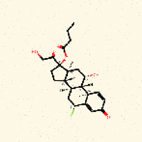 CCCC(=O)O[C@]1(C(=O)CO)CC[C@H]2[C@@H]3C[C@H](F)C4=CC(=O)C=C[C@]4(C)[C@H]3[C@@H](O)C[C@@]21C